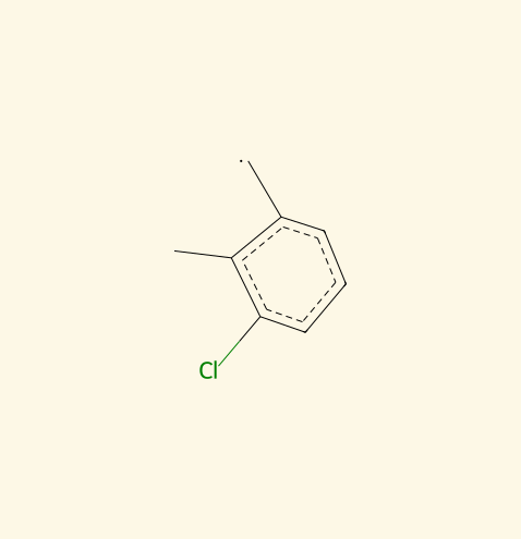 [CH2]c1cccc(Cl)c1C